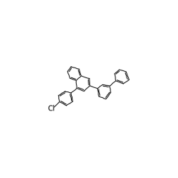 Clc1ccc(-c2cc(-c3cccc(-c4ccccc4)c3)cc3ccccc23)cc1